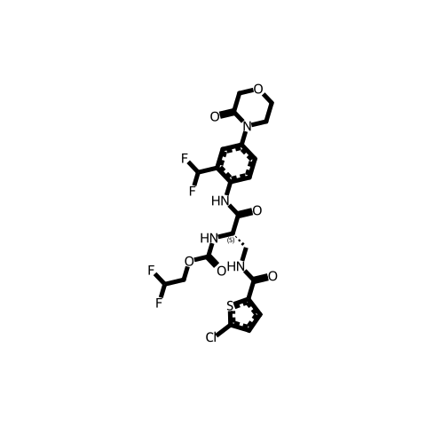 O=C(N[C@@H](CNC(=O)c1ccc(Cl)s1)C(=O)Nc1ccc(N2CCOCC2=O)cc1C(F)F)OCC(F)F